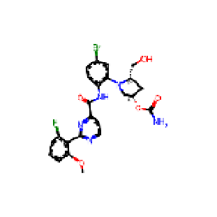 COc1cccc(F)c1-c1nccc(C(=O)Nc2ccc(Br)cc2N2C[C@@H](OC(N)=O)C[C@H]2CO)n1